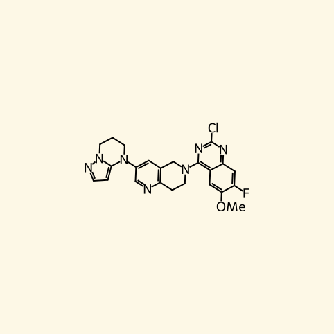 COc1cc2c(N3CCc4ncc(N5CCCn6nccc65)cc4C3)nc(Cl)nc2cc1F